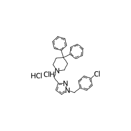 Cl.Cl.Clc1ccc(Cn2ccc(CN3CCC(c4ccccc4)(c4ccccc4)CC3)n2)cc1